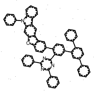 c1ccc(-c2ccc(-c3ccccc3)c(-c3ccc(-c4ccc5oc6cc7c(cc6c5c4)c4ccccc4n7-c4ccccc4)c(-c4nc(-c5ccccc5)nc(-c5ccccc5)n4)c3)c2)cc1